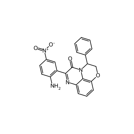 Nc1ccc([N+](=O)[O-])cc1-c1nc2cccc3c2n(c1=O)C(c1ccccc1)CO3